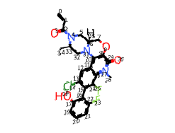 C=CC(=O)N1C[C@@H]2COc3c(c4cc(Cl)c(-c5c(O)cccc5F)c(F)c4n(C)c3=O)N2C[C@H]1C